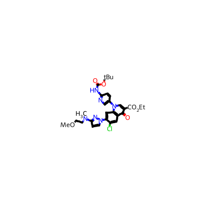 CCOC(=O)c1cn(-c2ccc(NC(=O)OC(C)(C)C)nc2)c2cc(-n3ccc(N(C)CCOC)n3)c(Cl)cc2c1=O